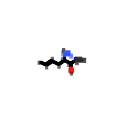 CC=CCC(N)C(=O)OC(C)=O